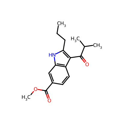 CCCc1[nH]c2cc(C(=O)OC)ccc2c1C(=O)C(C)C